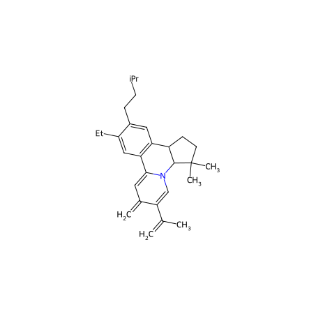 C=C(C)C1=CN2C(=CC1=C)c1cc(CC)c(CCC(C)C)cc1C1CCC(C)(C)C12